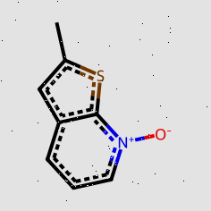 Cc1cc2ccc[n+]([O-])c2s1